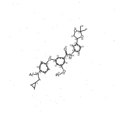 CC(=O)N(CC1CC1)c1ccc(Oc2cc(OC(C)C)cc(C(=O)Nc3nc(C4COC(C)(C)O4)cs3)c2)cc1